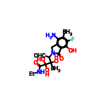 Bc1c(N)c2c(c(O)c1F)C(=O)N(C(C=O)C(B)(O)C(O)(O)C(=O)NCC)C2